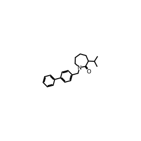 CC(C)C1CCCCN(Cc2ccc(-c3ccccc3)cc2)C1=O